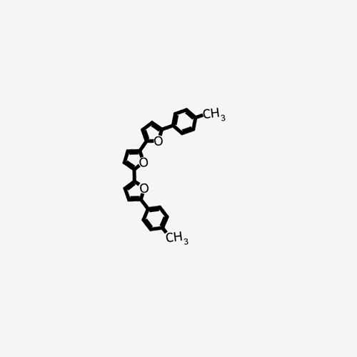 Cc1ccc(-c2ccc(-c3ccc(-c4ccc(-c5ccc(C)cc5)o4)o3)o2)cc1